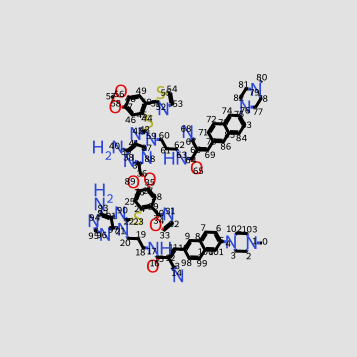 CN1CCN(c2ccc3cc(/C=C(\C#N)C(=O)NCCCn4c(Sc5cc6c(cc5-c5ncco5)OC(c5nc(N)c7nc(Sc8cc9c(cc8-c8nccs8)OCO9)n(CCCNC(=O)/C(C#N)=C/c8ccc9cc(N%10CCN(C)CC%10)ccc9c8)c7n5)O6)nc5c(N)ncnc54)ccc3c2)CC1